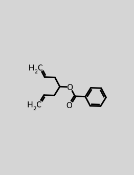 C=CCC(CC=C)OC(=O)c1ccccc1